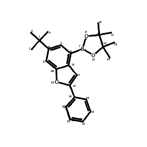 CC(C)(C)c1cc(B2OC(C)(C)C(C)(C)O2)c2cc(-c3ccccc3)oc2c1